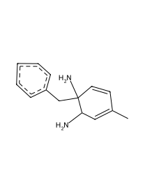 CC1=CC(N)C(N)(Cc2ccccc2)C=C1